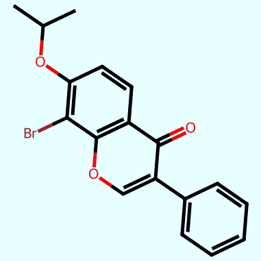 CC(C)Oc1ccc2c(=O)c(-c3ccccc3)coc2c1Br